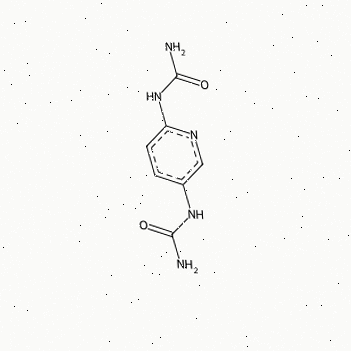 NC(=O)Nc1ccc(NC(N)=O)nc1